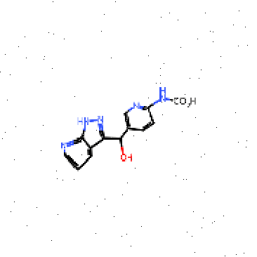 O=C(O)Nc1ccc(C(O)c2n[nH]c3ncccc23)cn1